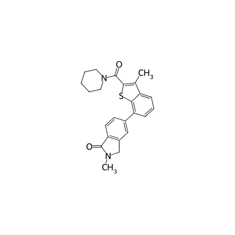 Cc1c(C(=O)N2CCCCC2)sc2c(-c3ccc4c(c3)CN(C)C4=O)cccc12